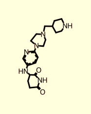 O=C1CCC(Nc2ccc(N3CCN(CC4CCNCC4)CC3)nc2)C(=O)N1